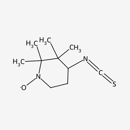 CC1(C)C(N=C=S)CCN([O])C1(C)C